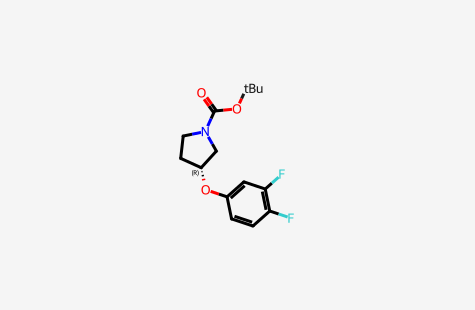 CC(C)(C)OC(=O)N1CC[C@@H](Oc2ccc(F)c(F)c2)C1